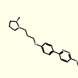 CSc1ccc(-c2ccc(OCCCN3CCC[C@H]3C)cc2)nn1